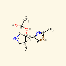 Cc1nc([C@H]2[C@H]3CNC[C@]32OC(=O)C(F)(F)F)cs1